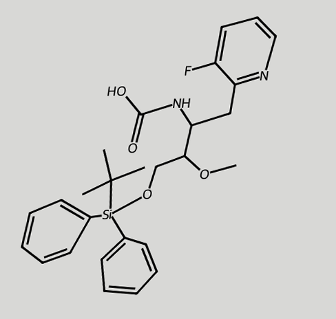 COC(CO[Si](c1ccccc1)(c1ccccc1)C(C)(C)C)C(Cc1ncccc1F)NC(=O)O